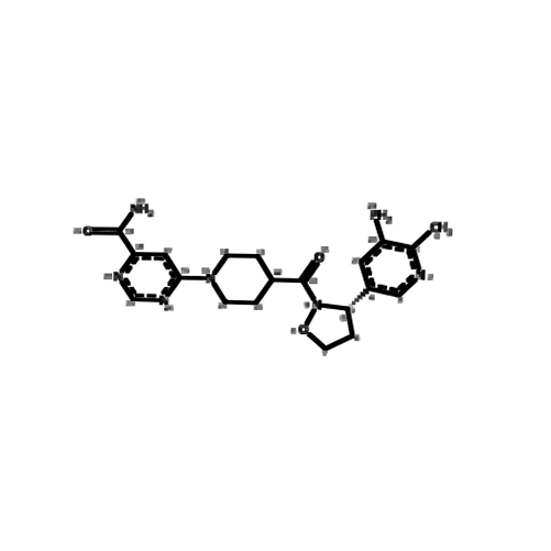 Cc1ncc([C@@H]2CCON2C(=O)C2CCN(c3cc(C(N)=O)ncn3)CC2)cc1P